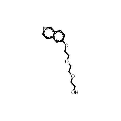 OCCOCCOCCOc1ccc2cnccc2c1